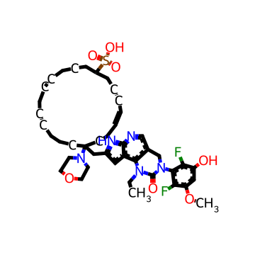 CCN1C(=O)N(c2c(F)c(O)cc(OC)c2F)Cc2cnc3[nH]c(CC4(N5CCOCC5)CC/C=C\CCCC(S(=O)(=O)O)CCCCCCCCCCC4)cc3c21